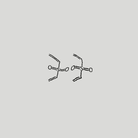 C=CS(=O)(=O)C=C.C=CS(=O)(=O)C=C